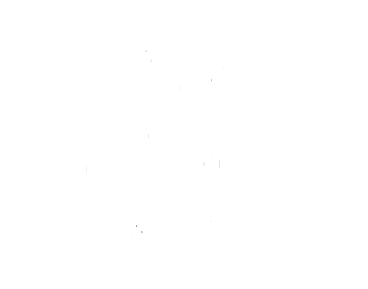 CC(C)[C@H](N)C(=O)O.O=C1CCC(=O)O1